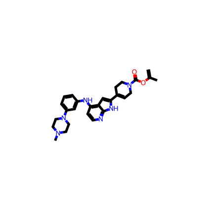 C=C(C)OC(=O)N1CC=C(c2cc3c(Nc4cccc(N5CCN(C)CC5)c4)ccnc3[nH]2)CC1